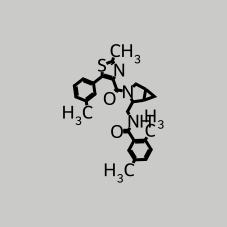 Cc1cccc(-c2sc(C)nc2C(=O)N2CC3CC3C2CNC(=O)c2cc(C)ccc2C)c1